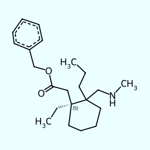 CCCC1(CNC)CCCC[C@@]1(CC)CC(=O)OCc1ccccc1